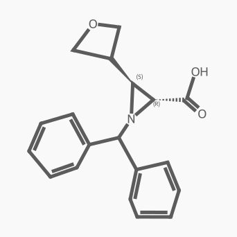 O=C(O)[C@H]1[C@H](C2COC2)N1C(c1ccccc1)c1ccccc1